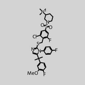 COc1cc(C(C)(C)c2cnc(SCc3c(F)cc(S(=O)(=O)N4CCCC([N+](C)(C)C)C4)cc3Cl)n2-c2ccc(F)cc2)ccc1F